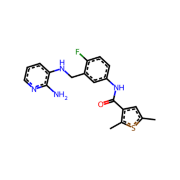 Cc1cc(C(=O)Nc2ccc(F)c(CNc3cccnc3N)c2)c(C)s1